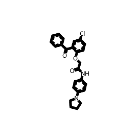 O=C(COc1ccc(Cl)cc1C(=O)c1ccccc1)Nc1ccc(N2CCCC2)cc1